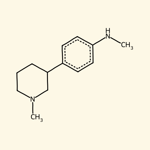 CNc1ccc(C2CCCN(C)C2)cc1